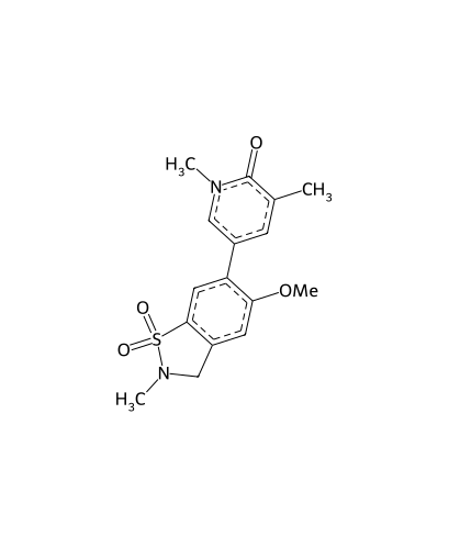 COc1cc2c(cc1-c1cc(C)c(=O)n(C)c1)S(=O)(=O)N(C)C2